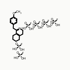 COc1ccc(CC2=NCCC3=C2CCCC3)cc1.O=P(O)(O)F.O=P(O)(O)F.O=P(O)(O)F.O=P(O)(O)F.O=P(O)(O)F.O=P(O)(O)F